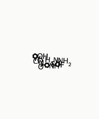 Nc1c(F)ccc(SNc2ccc(C(=O)N3CCC(O)(c4ccccc4Cl)CC3)cc2)c1N